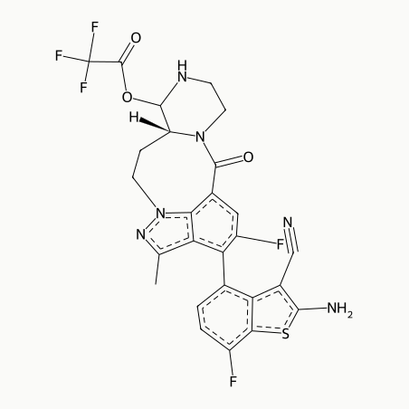 Cc1nn2c3c(cc(F)c(-c4ccc(F)c5sc(N)c(C#N)c45)c13)C(=O)N1CCNC(OC(=O)C(F)(F)F)[C@H]1CC2